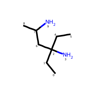 CCC(N)(CC)CC(C)N